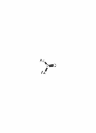 CC(=O)[P](=O)C(C)=O